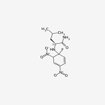 CC(C)C[C@H](NC1(F)C=CC([N+](=O)[O-])=CC1[N+](=O)[O-])C(N)=O